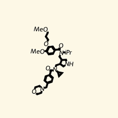 COCCCOc1cc(C(=O)N(CC2CNCC2CN(C(=O)c2ccc(CN3CCOCC3)cc2)C2CC2)C(C)C)ccc1OC